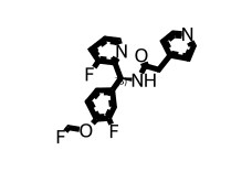 O=C(Cc1ccncc1)N[C@@H](c1ccc(OCF)c(F)c1)c1ncccc1F